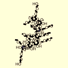 CCOCCOCCOC1C(O)[C@@H](O[C@H]2OC(CO)[C@H](O[C@@H](O)/C(OCCOCC)=C(/O)[C@H](CCOCCOCCO)OC)C(O)C2O)C(COCCOCCOC)O[C@@H]1O[C@H]1C(COCCOCC)O[C@H](O[C@@H](CCOCC)/C(O)=C(/OCCOCCOC)[C@H](O)O[C@H]2C(CO)O[C@H](O[C@H]3C(COCCOCCO)O[C@H](OC)C(OCCOCC)C3O)C(OC)C2O)C(OCCO)C1OC